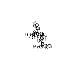 COc1cc(C(=O)NC[C@](O)(c2nc(-c3ccc4c(c3)OC(F)(F)O4)c3c(c2F)[C@@](C)(C(N)=O)CO3)C2CC2)cc2cc(Cl)c(C)nc12